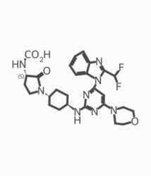 O=C(O)N[C@H]1CCN([C@H]2CC[C@H](Nc3nc(N4CCOCC4)cc(-n4c(C(F)F)nc5ccccc54)n3)CC2)C1=O